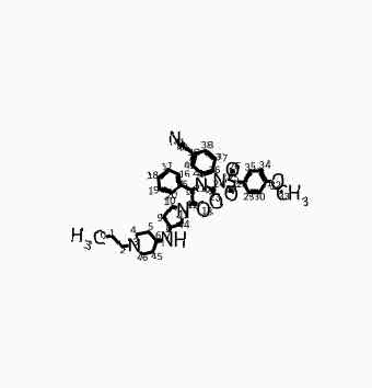 CCCN1CCC(NC2CCN(C(=O)C(c3ccccc3)n3c(=O)n(S(=O)(=O)c4ccc(OC)cc4)c4ccc(C#N)cc43)C2)CC1